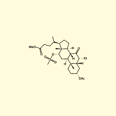 CC[C@H]1C(=O)[C@@H]2[C@H](C[C@H](OS(C)(=O)=O)[C@]3(C)[C@@H](C(C)CCC(=O)OC)CC[C@@H]23)[C@@]2(C)CC[C@@H](OC(C)=O)C[C@@H]12